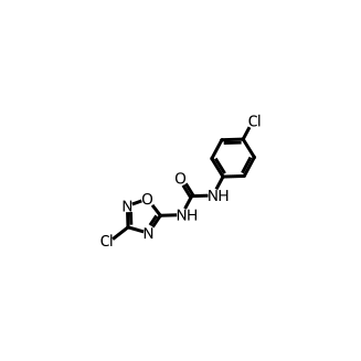 O=C(Nc1ccc(Cl)cc1)Nc1nc(Cl)no1